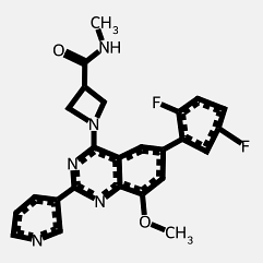 CNC(=O)C1CN(c2nc(-c3cccnc3)nc3c(OC)cc(-c4cc(F)ccc4F)cc23)C1